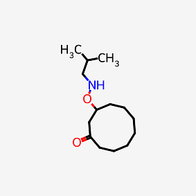 CC(C)CNOC1CCCCCCCC(=O)C1